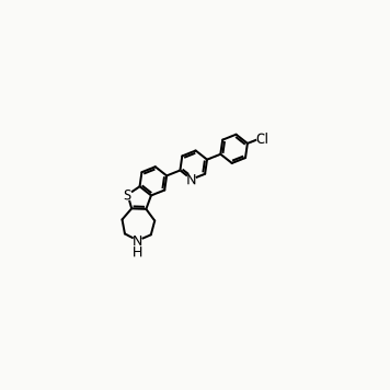 Clc1ccc(-c2ccc(-c3ccc4sc5c(c4c3)CCNCC5)nc2)cc1